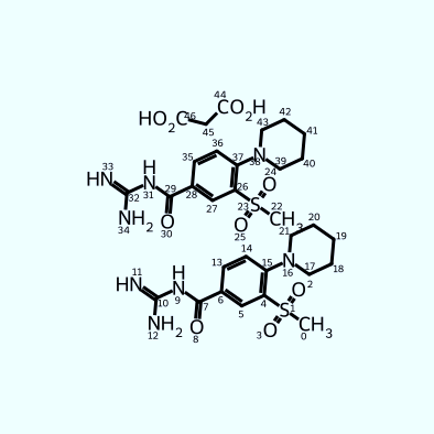 CS(=O)(=O)c1cc(C(=O)NC(=N)N)ccc1N1CCCCC1.CS(=O)(=O)c1cc(C(=O)NC(=N)N)ccc1N1CCCCC1.O=C(O)CC(=O)O